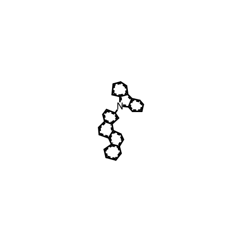 c1ccc2c(c1)ccc1c3cc(-n4c5ccccc5c5ccccc54)ccc3ccc21